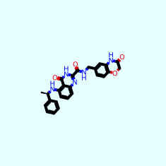 C[C@@H](Nc1cccc2nc(C(=O)NCc3ccc4c(c3)NC(=O)CO4)[nH]c(=O)c12)c1ccccc1